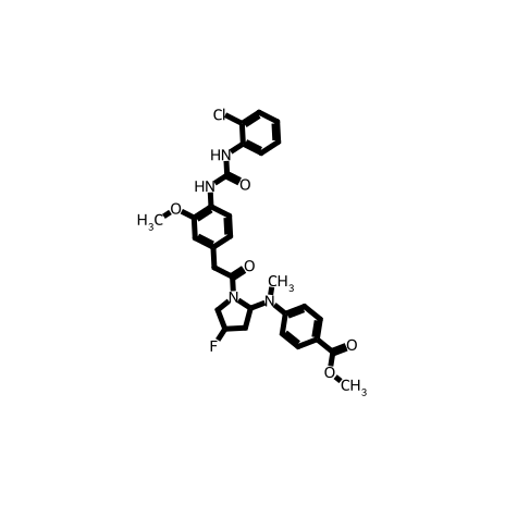 COC(=O)c1ccc(N(C)C2CC(F)CN2C(=O)Cc2ccc(NC(=O)Nc3ccccc3Cl)c(OC)c2)cc1